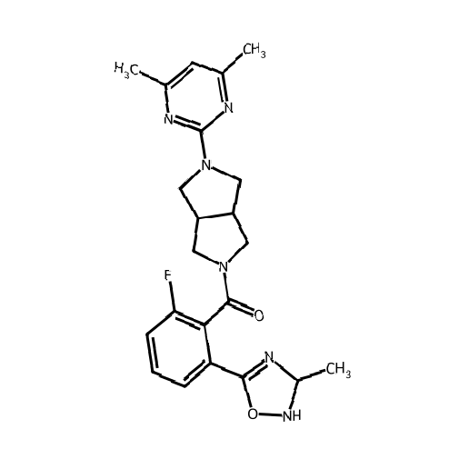 Cc1cc(C)nc(N2CC3CN(C(=O)c4c(F)cccc4C4=NC(C)NO4)CC3C2)n1